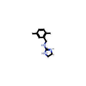 Cc1ccc(C)c(CNC2=NCCN2)c1